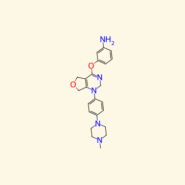 CN1CCN(c2ccc(N3CN=C(Oc4cccc(N)c4)C4=C3COC4)cc2)CC1